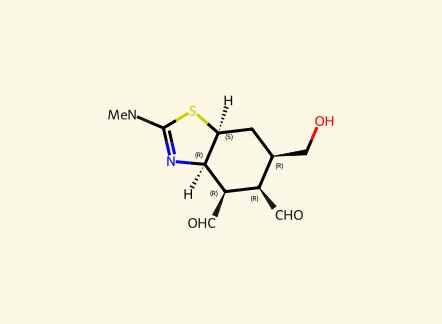 CNC1=N[C@@H]2[C@H](C=O)[C@H](C=O)[C@H](CO)C[C@@H]2S1